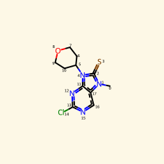 Cn1c(=S)n(C2CCOCC2)c2nc(Cl)ncc21